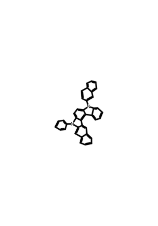 c1ccc(-n2c3cc4ccccc4cc3c3c4c5ccccc5n(-c5ccc6ccccc6c5)c4ccc32)cc1